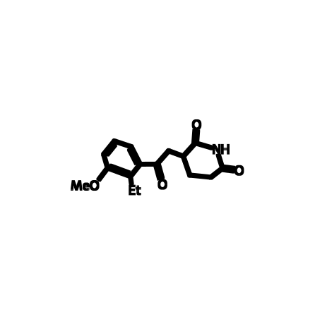 CCc1c(OC)cccc1C(=O)CC1CCC(=O)NC1=O